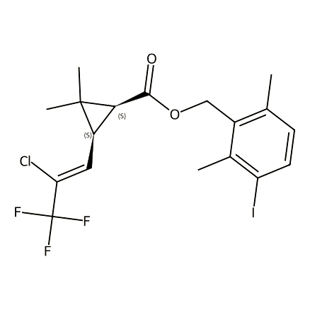 Cc1ccc(I)c(C)c1COC(=O)[C@H]1[C@@H](C=C(Cl)C(F)(F)F)C1(C)C